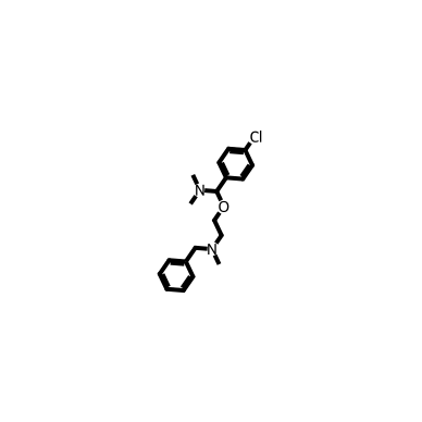 CN(CCOC(c1ccc(Cl)cc1)N(C)C)Cc1ccccc1